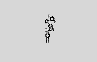 O=C(c1cnn2ccc(N3CCC[C@@H]3c3cc(F)ccc3F)cc12)N1CCNCC1